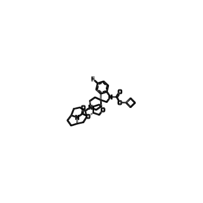 O=C(OC1CCC1)N1CC2(CCN(C3CCC4CCC(CC3)N4C(=O)O[C@@H]3CCOC3)CC2)c2cc(F)ccc21